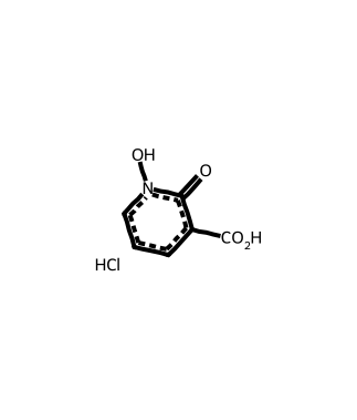 Cl.O=C(O)c1cccn(O)c1=O